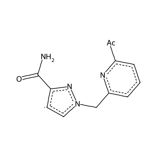 CC(=O)c1cccc(Cn2c[c]c(C(N)=O)n2)n1